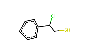 SCC(Cl)c1ccccc1